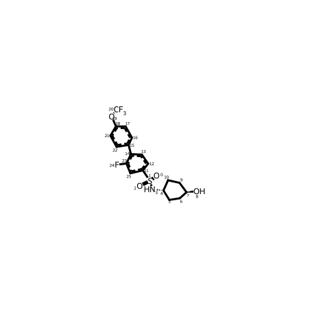 O=S(=O)(N[C@H]1CC[C@H](O)CC1)c1ccc(-c2ccc(OC(F)(F)F)cc2)c(F)c1